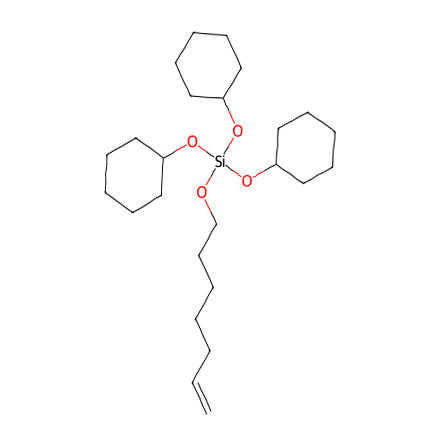 C=CCCCCCO[Si](OC1CCCCC1)(OC1CCCCC1)OC1CCCCC1